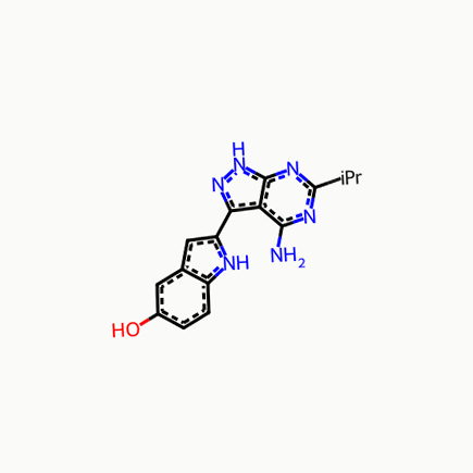 CC(C)c1nc(N)c2c(-c3cc4cc(O)ccc4[nH]3)n[nH]c2n1